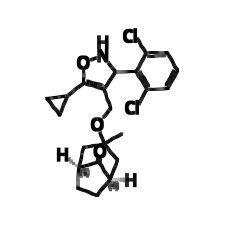 CC1(OCC2=C(C3CC3)ONC2c2c(Cl)cccc2Cl)C[C@H]2CC[C@@H](C1)C2=O